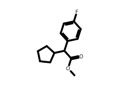 COC(=O)C(c1ccc(F)cc1)C1CCCC1